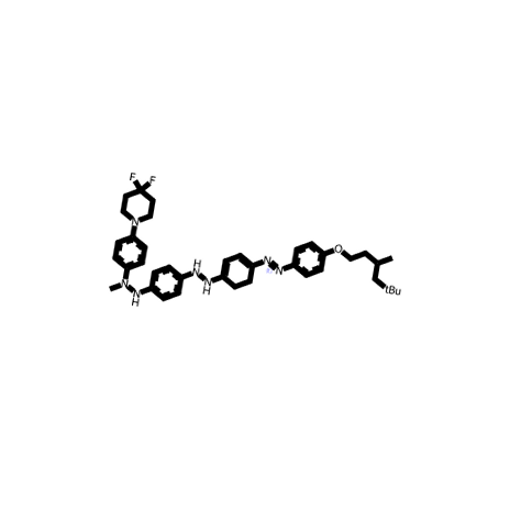 CC(CCOc1ccc(/N=N/C2=CC=C(NNc3ccc(NN(C)c4ccc(N5CCC(F)(F)CC5)cc4)cc3)CC2)cc1)CC(C)(C)C